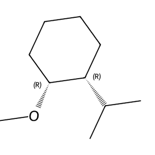 CO[C@@H]1CCCC[C@@H]1C(C)C